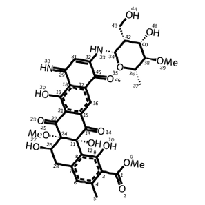 COC(=O)c1c(C)cc2c(c1O)[C@]1(O)C(=O)c3cc4c(c(O)c3C(=O)[C@]1(OC)[C@H](O)C2)C(=N)C=C(N[C@H]1O[C@@H](C)[C@H](OC)[C@@H](O)[C@H]1CO)C4=O